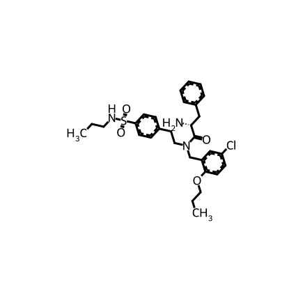 CCCNS(=O)(=O)c1ccc(CCN(Cc2cc(Cl)ccc2OCCC)C(=O)[C@H](N)Cc2ccccc2)cc1